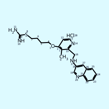 Cc1c(OCCCCSC(=N)N)ccnc1CNc1cnc2ccccc2c1.Cl